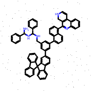 NC(NC(NCc1cc(-c2ccc3c(c2)C2(c4ccccc4-c4ccccc42)c2ccccc2-3)cc(-c2cccc3c(-c4nc5ccccc5c5c4CNC=C5)cccc23)c1)c1ccccc1)c1ccccc1